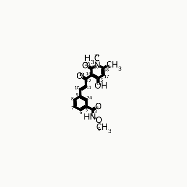 CONC(=O)c1cccc(/C=C/C(=O)c2c(O)cc(C)n(C)c2=O)c1